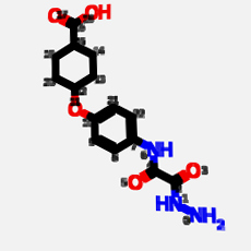 NNC(=O)C(=O)Nc1ccc(OC2CCC(C(=O)O)CC2)cc1